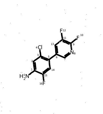 Nc1cc(Cl)c(-c2cnc(F)c(F)c2)cc1F